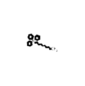 C=CCCCCCCCC[Si](c1ccccc1)(c1ccccc1)c1ccccc1